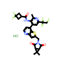 Cc1nc(C(F)(F)CF)cc(-c2ccnc3cc(CN4C(=O)C5C(C4=O)C5(C)C)sc23)c1NC(=O)C1CC(F)(F)C1.Cl